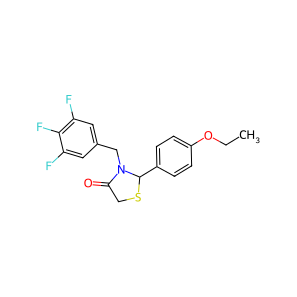 CCOc1ccc(C2SCC(=O)N2Cc2cc(F)c(F)c(F)c2)cc1